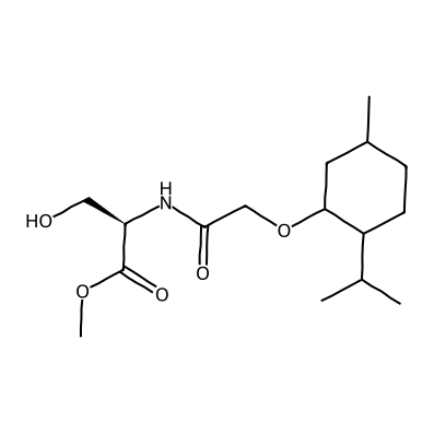 COC(=O)[C@@H](CO)NC(=O)COC1CC(C)CCC1C(C)C